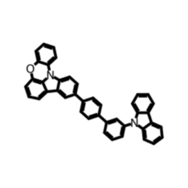 c1cc(-c2ccc(-c3ccc4c(c3)c3cccc5c3n4-c3ccccc3O5)cc2)cc(-n2c3ccccc3c3ccccc32)c1